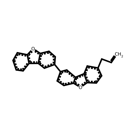 C=CCc1ccc2oc3ccc(-c4ccc5oc6ccccc6c5c4)cc3c2c1